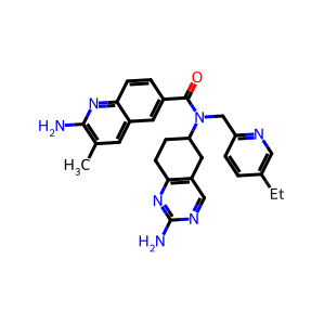 CCc1ccc(CN(C(=O)c2ccc3nc(N)c(C)cc3c2)C2CCc3nc(N)ncc3C2)nc1